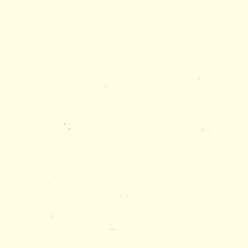 Cc1cc2c(cc1C(=O)c1ccccc1)C(N1CCCC1=O)C(O)C(C)(C)O2